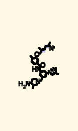 C=N/C(C)=C\C=C(/C)COc1cc(C(=O)Nc2cc(CN3CCC(N)C(C)C3)cc(-n3cnc(C)c3)c2)ccc1C